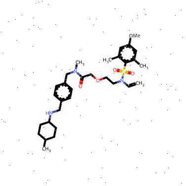 C=CN(CCOCC(=O)N(C)Cc1ccc(CNC2CCC(C)CC2)cc1)S(=O)(=O)c1c(C)cc(OC)cc1C